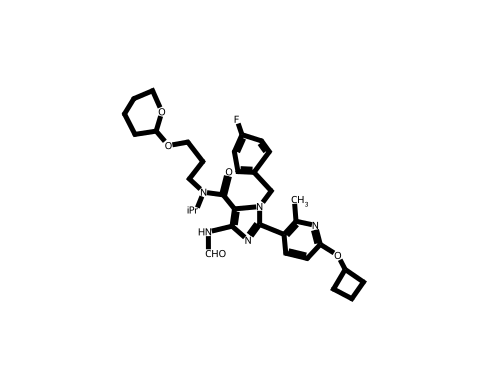 Cc1nc(OC2CCC2)ccc1-c1nc(NC=O)c(C(=O)N(CCCOC2CCCCO2)C(C)C)n1Cc1ccc(F)cc1